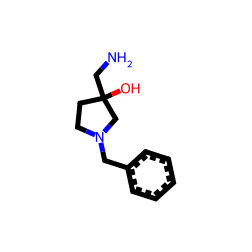 NCC1(O)CCN(Cc2ccccc2)C1